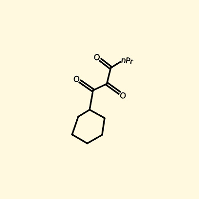 CCCC(=O)C(=O)C(=O)C1CCCCC1